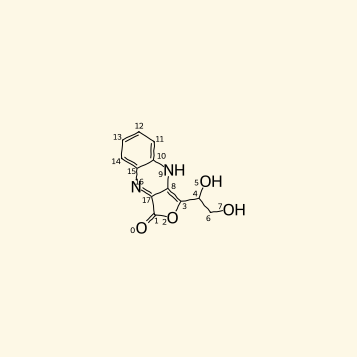 O=c1oc(C(O)CO)c2[nH]c3ccccc3nc1-2